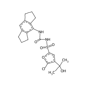 CC(C)(O)c1cc(S(=O)(=O)NC(=O)Nc2c3c(cc4c2CCC4)CCC3)oc1Cl